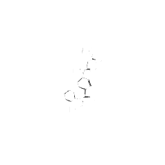 CCN(C(=O)c1ccc(NC(=O)CC(C)=O)cc1)c1ccccc1